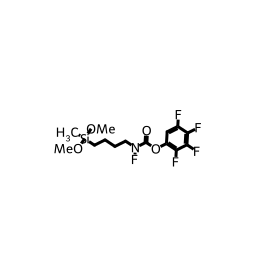 CO[Si](C)(CCCCN(F)C(=O)Oc1cc(F)c(F)c(F)c1F)OC